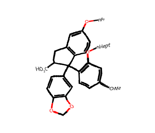 CCCCCCCOc1cc(OC)ccc1C1(c2ccc3c(c2)OCO3)c2ccc(OCCC)cc2CC1C(=O)O